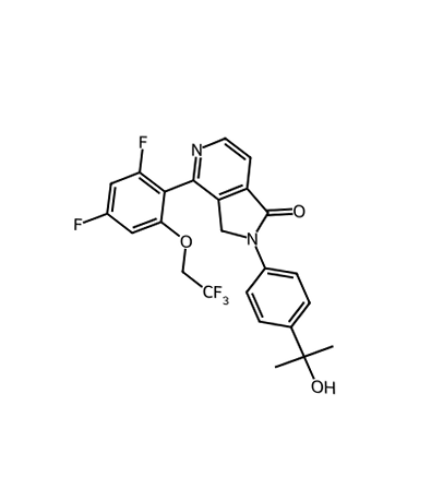 CC(C)(O)c1ccc(N2Cc3c(ccnc3-c3c(F)cc(F)cc3OCC(F)(F)F)C2=O)cc1